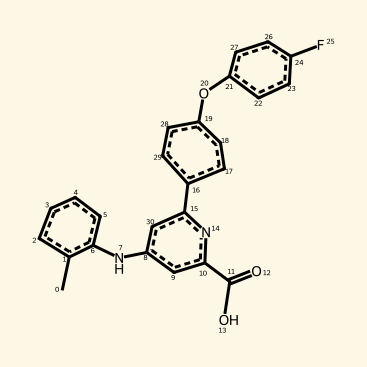 Cc1ccccc1Nc1cc(C(=O)O)nc(-c2ccc(Oc3ccc(F)cc3)cc2)c1